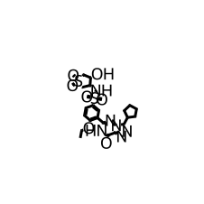 CCOc1ccc(S(=O)(=O)NC2CS(=O)(=O)CC2O)cc1-c1nn2c(C3CCCC3)nnc2c(=O)[nH]1